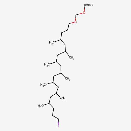 CCCCCCCOCOCCCC(C)CC(C)CC(C)CC(C)CC(C)CC(C)CC(C)CCCI